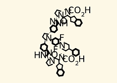 CN(C(=O)O)[C@H](C(=O)N1CCC[C@H]1c1nc2cc([C@H]3CC[C@H](c4ccc5[nH]c([C@@H]6CCCN6C(=O)[C@H](C6Cc7ccccc7C6)N(C)C(=O)O)nc5c4)N3c3cc(F)c(N4CCC(c5ccccc5)CC4)c(F)c3)ccc2[nH]1)C1Cc2ccccc2C1